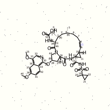 CC[C@@H]1C[C@H](C)CC/C=C\[C@@H]2C[C@@]2(C(=O)NS(=O)(=O)C2(C)CC2)NC(=O)[C@@H]2C[C@@H](Oc3ncc(OC)c4cc(OC)ccc34)CN2C(=O)[C@H]1NC(=O)O